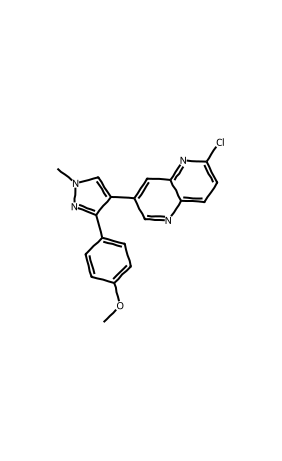 COc1ccc(-c2nn(C)cc2-c2cnc3ccc(Cl)nc3c2)cc1